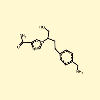 NCc1ccc(CCC(CO)n2cnc(C(N)=O)c2)cc1